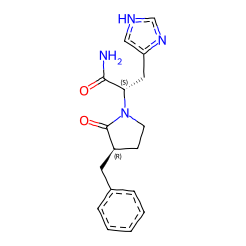 NC(=O)[C@H](Cc1c[nH]cn1)N1CC[C@@H](Cc2ccccc2)C1=O